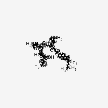 CC(C)CCC[C@@H](C)[C@H]1CCC2C3CC=C4CC(OC(=O)CCC(=O)O[C@@H]5C[C@@H](COP(=O)(O)O[C@@H]6C[C@@H](COP(=O)(O)O[C@@H]7C[C@@H](CO)O[C@H]7n7cnc8c(N)ncnc87)O[C@H]6n6cnc7c(N)ncnc76)O[C@H]5n5cnc6c(N)ncnc65)CC[C@]4(C)C3CC[C@@]21C